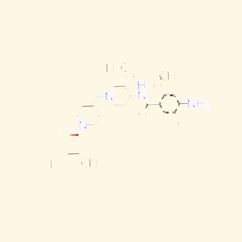 CCC(C)SC(=O)N1CCC(CN2CC[C@@H](NC(=O)c3cc(Cl)c(N)cc3OC)[C@@H](OC)C2)CC1